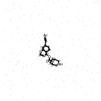 CC(=O)C#Cc1ccc2c(OC(=O)N3C4CCC3CNC4)ncnc2c1